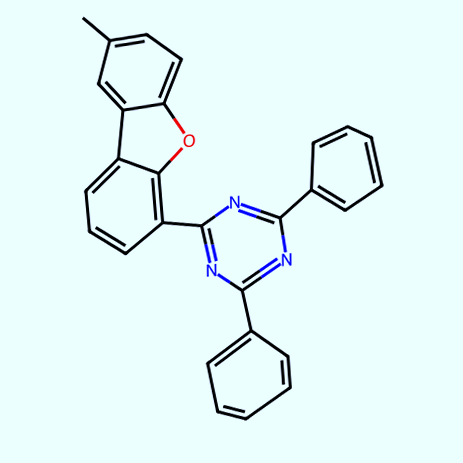 Cc1ccc2oc3c(-c4nc(-c5ccccc5)nc(-c5ccccc5)n4)cccc3c2c1